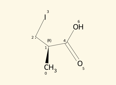 C[C@@H]([CH]I)C(=O)O